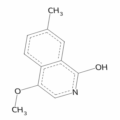 COc1cnc(O)c2cc(C)ccc12